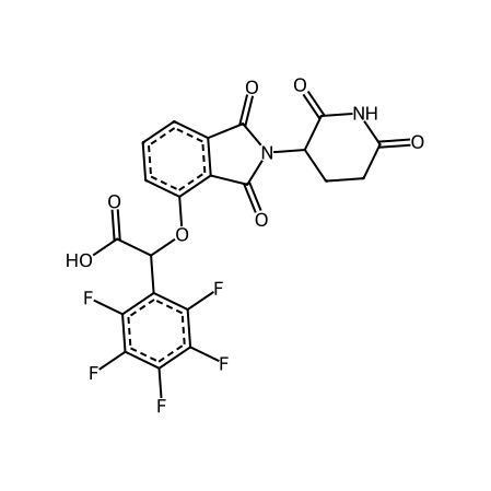 O=C1CCC(N2C(=O)c3cccc(OC(C(=O)O)c4c(F)c(F)c(F)c(F)c4F)c3C2=O)C(=O)N1